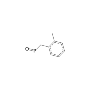 Cc1ccccc1CP=O